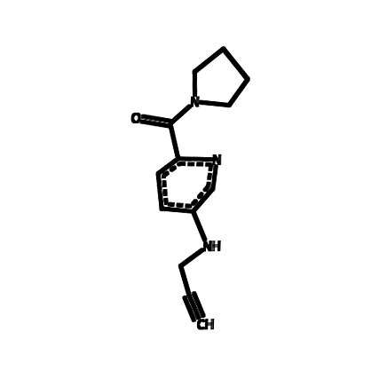 C#CCNc1ccc(C(=O)N2CCCC2)nc1